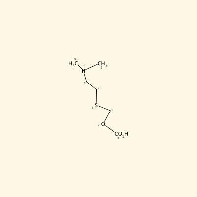 CN(C)CCSCOC(=O)O